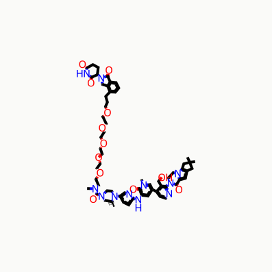 C[C@H]1CN(C(=O)N(C)CCOCCOCCOCCOCCOCCCc2cccc3c2CN(C2CCC(=O)NC2=O)C3=O)CCN1c1ccc(Nc2cc(-c3ccnc(N4CCn5c(cc6c5CC(C)(C)C6)C4=O)c3CO)cn(C)c2=O)nc1